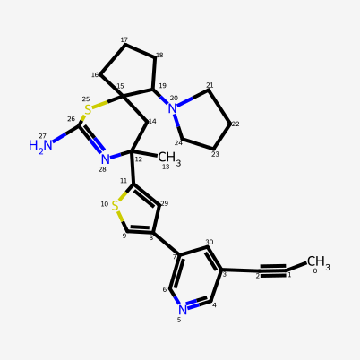 CC#Cc1cncc(-c2csc(C3(C)CC4(CCCC4N4CCCC4)SC(N)=N3)c2)c1